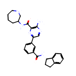 Nc1ncc(-c2cccc(C(=O)N[C@H]3CCc4ccccc43)c2)nc1C(=O)NC1CCCCNC1